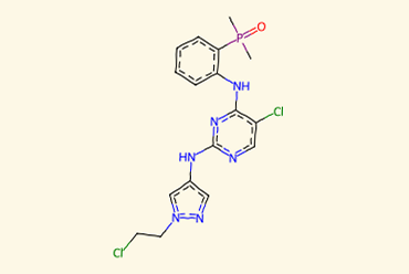 CP(C)(=O)c1ccccc1Nc1nc(Nc2cnn(CCCl)c2)ncc1Cl